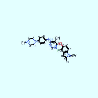 CCN1CCN(c2ccc(Nc3ncnc(Oc4ccc5c(cc(C)n5C(C)C)c4F)c3C#N)cc2)CC1